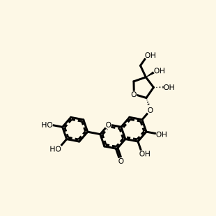 O=c1cc(-c2ccc(O)c(O)c2)oc2cc(O[C@@H]3OC[C@](O)(CO)[C@@H]3O)c(O)c(O)c12